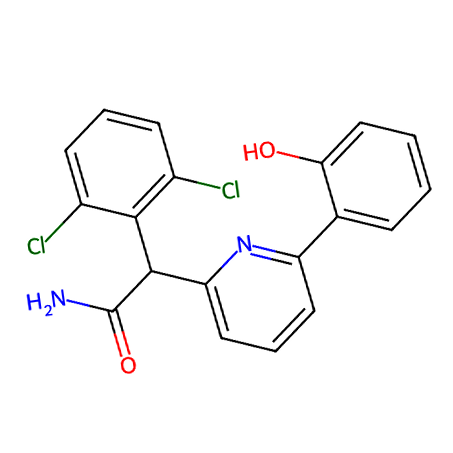 NC(=O)C(c1cccc(-c2ccccc2O)n1)c1c(Cl)cccc1Cl